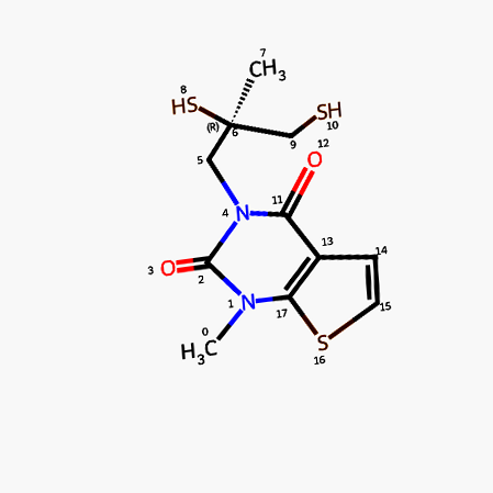 Cn1c(=O)n(C[C@@](C)(S)CS)c(=O)c2ccsc21